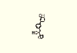 Oc1cccc(-c2cccc(CC(O)c3ccco3)c2)c1